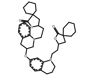 O=C1OC(CCN2CCCc3ccc(OC4Cc5ccccc5N(CCC5CC6(CCCCC6)C(=O)O5)C4)cc32)CC12CCCCC2